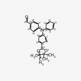 CC1(C)OB(c2ccc(N(c3ccccc3)c3ccc(C=O)cc3)cc2)OC1(C)C